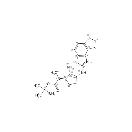 CN(C(=O)OC(C)(C)C)[C@@H]1CC[C@@H](Nc2nc3c4c(ccc3s2)OCC4)[C@H]1N